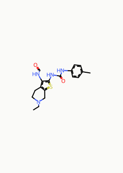 CCN1CCc2c(sc(NC(=O)Nc3ccc(C)cc3)c2NC=O)C1